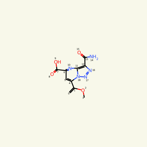 C=C(OC)c1cc(C(=O)O)nc2c(C(N)=O)nnn12